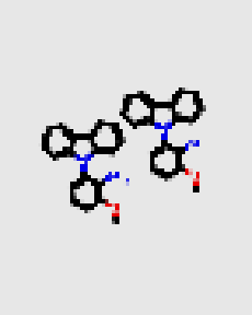 COc1cccc(-n2c3ccccc3c3ccccc32)c1N.COc1cccc(-n2c3ccccc3c3ccccc32)c1N